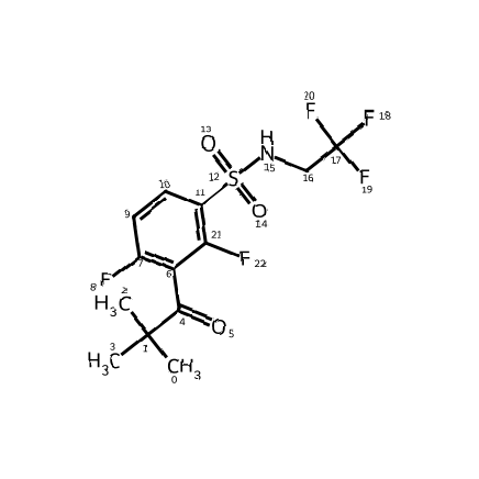 CC(C)(C)C(=O)c1c(F)ccc(S(=O)(=O)NCC(F)(F)F)c1F